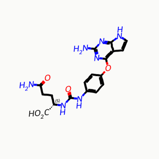 NC(=O)CC[C@H](NC(=O)Nc1ccc(Oc2nc(N)nc3[nH]ccc23)cc1)C(=O)O